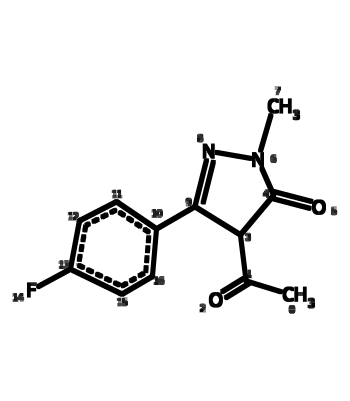 CC(=O)C1C(=O)N(C)N=C1c1ccc(F)cc1